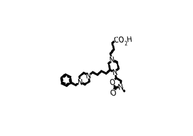 CN1CC(N2CCN(CCCC(=O)O)CC2CCCCN2CCN(Cc3ccccc3)CC2)OC1=O